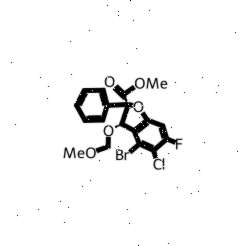 COCO[C@H]1c2c(cc(F)c(Cl)c2Br)O[C@@]1(C(=O)OC)c1ccccc1